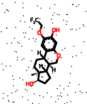 C[C@]12CC[C@@H]3c4cc(OCC(F)(F)F)c(O)cc4OC[C@H]3[C@@H]1CC[C@@H]2O